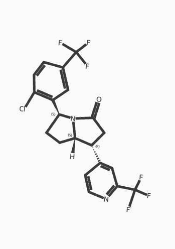 O=C1C[C@H](c2ccnc(C(F)(F)F)c2)[C@@H]2CC[C@@H](c3cc(C(F)(F)F)ccc3Cl)N12